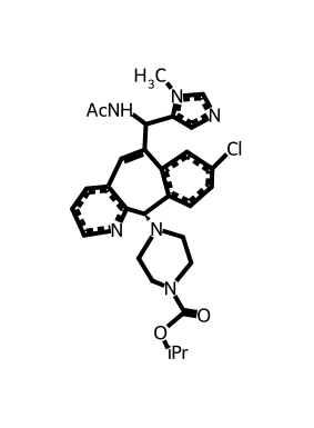 CC(=O)NC(C1=Cc2cccnc2[C@@H](N2CCN(C(=O)OC(C)C)CC2)c2ccc(Cl)cc21)c1cncn1C